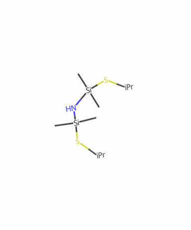 CC(C)S[Si](C)(C)N[Si](C)(C)SC(C)C